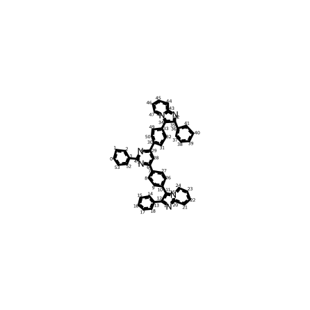 c1ccc(-c2nc(-c3ccc(-c4c(-c5ccccc5)nc5ccccn45)cc3)cc(-c3ccc(-c4c(-c5ccccc5)nc5ccccn45)cc3)n2)cc1